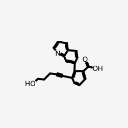 O=C(O)c1cccc(C#CCCCO)c1-c1ccc2cccnc2c1